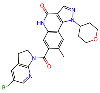 Cc1cc2c(cc1C(=O)N1CCc3cc(Br)cnc31)[nH]c(=O)c1cnn(C3CCOCC3)c12